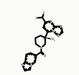 C[C@]1(c2cc(C(F)F)nc3ncnn23)CCCN(C(=O)c2ccc3nccn3c2)C1